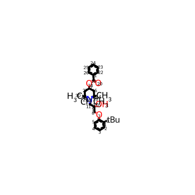 CC(C)(C)c1ccccc1OCC(O)CN1C(C)(C)CC(OC(=O)c2ccccc2)CC1(C)C